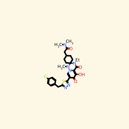 CCN1C(=O)c2c(O)c(=O)c(-c3nnc(Cc4ccc(F)cc4)s3)cn2N(C)C12CCC(CC(=O)N(C)C)CC2